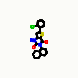 O=c1[nH]c2cc(-c3ccccc3Cl)sc2c(=O)n1-c1cccc2c1CCCC2